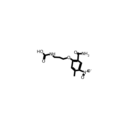 Cc1cc(OCCCNC(=O)O)c(C(N)=O)cc1[N+](=O)[O-]